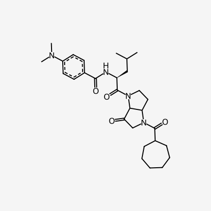 CC(C)C[C@H](NC(=O)c1ccc(N(C)C)cc1)C(=O)N1CCC2C1C(=O)CN2C(=O)C1CCCCCC1